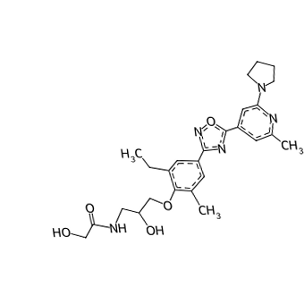 CCc1cc(-c2noc(-c3cc(C)nc(N4CCCC4)c3)n2)cc(C)c1OCC(O)CNC(=O)CO